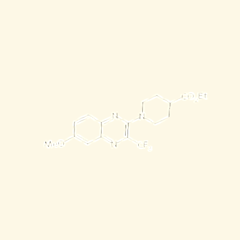 CCOC(=O)C1CCN(c2nc3ccc(OC)cc3nc2C(F)(F)F)CC1